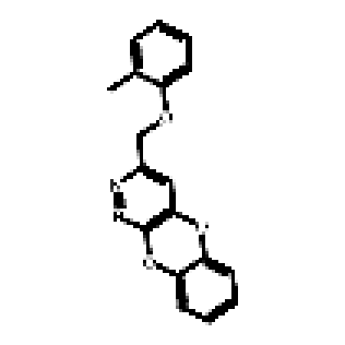 Cc1ccccc1OCc1cc2c(nn1)Oc1ccccc1O2